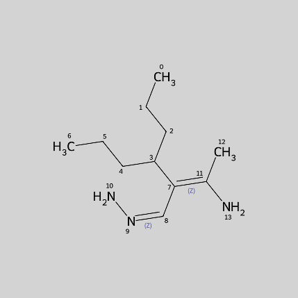 CCCC(CCC)C(/C=N\N)=C(\C)N